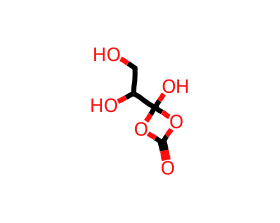 O=C1OC(O)(C(O)CO)O1